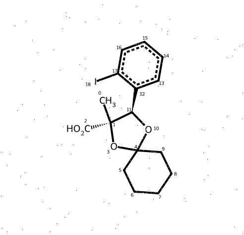 C[C@]1(C(=O)O)OC2(CCCCC2)O[C@@H]1c1ccccc1I